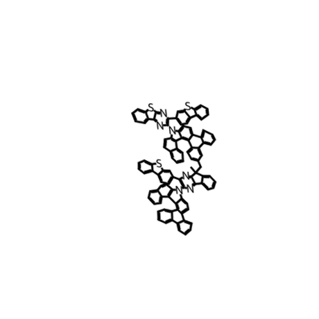 CC1(Cc2ccc3c(c2)c2ccccc2c2ccc4c(c23)c2c3ccccc3ccc2n4-c2nc3c(nc2-c2ccc4c(c2)sc2ccccc24)sc2ccccc23)c2ccccc2-c2nc(-n3c4ccc5ccccc5c4c4c5c6ccccc6c6ccccc6c5ccc43)c(-c3ccc4c(c3)sc3ccccc34)nc21